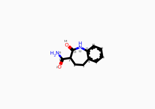 NC(=O)C1CCc2ccccc2NC1=O